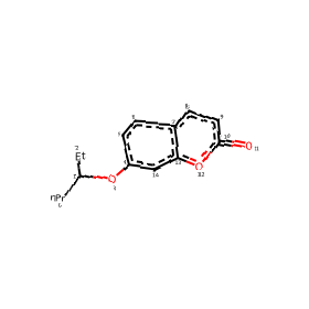 CCCC(CC)Oc1ccc2ccc(=O)oc2c1